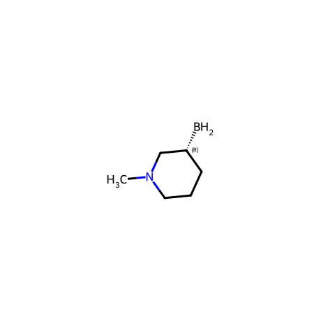 B[C@@H]1CCCN(C)C1